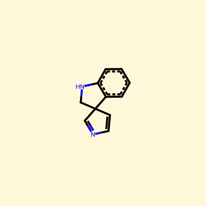 C1=CC2(C=N1)CNc1ccccc12